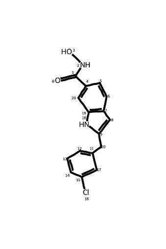 O=C(NO)c1ccc2cc(Cc3cccc(Cl)c3)[nH]c2c1